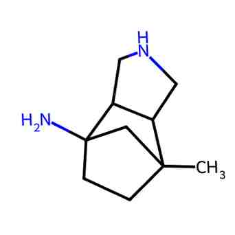 CC12CCC(N)(C1)C1CNCC12